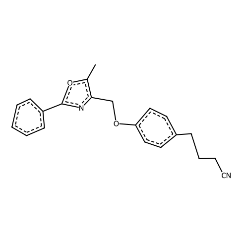 Cc1oc(-c2ccccc2)nc1COc1ccc(CCCC#N)cc1